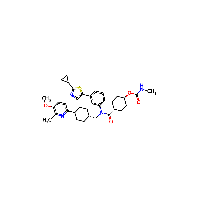 CNC(=O)O[C@H]1CC[C@H](C(=O)N(C[C@H]2CC[C@H](c3ccc(OC)c(C)n3)CC2)c2cccc(-c3cnc(C4CC4)s3)c2)CC1